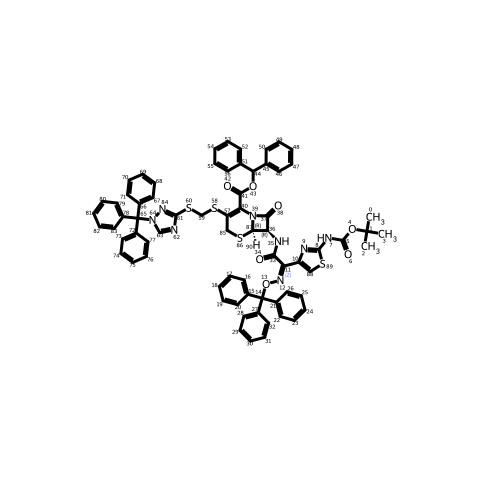 CC(C)(C)OC(=O)Nc1nc(/C(=N/OC(c2ccccc2)(c2ccccc2)c2ccccc2)C(=O)N[C@@H]2C(=O)N3C(C(=O)OC(c4ccccc4)c4ccccc4)=C(SCSc4ncn(C(c5ccccc5)(c5ccccc5)c5ccccc5)n4)CS[C@H]23)cs1